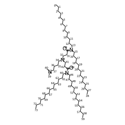 CCCCCCCCCCCCCCN(CCCCCCCCCCCCCC)C(=O)CCN(CCCCN(C)C)CCC(=O)N(CCCCCCCCCCCCCC)CCCCCCCCCCCCCC